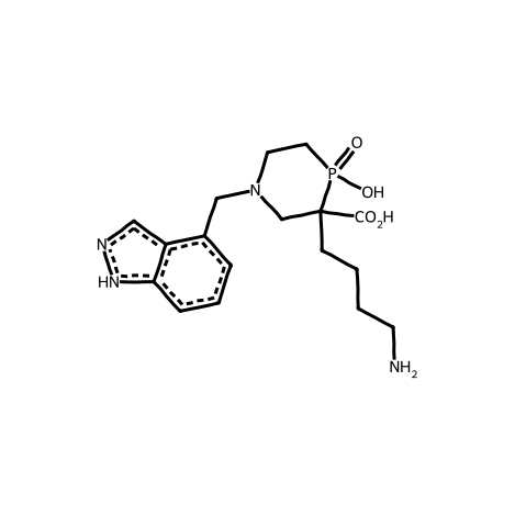 NCCCCC1(C(=O)O)CN(Cc2cccc3[nH]ncc23)CCP1(=O)O